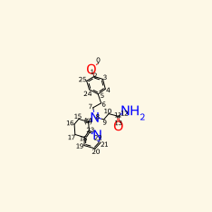 COc1ccc(CCN(CCC(N)=O)[C@H]2CCCc3cccnc32)cc1